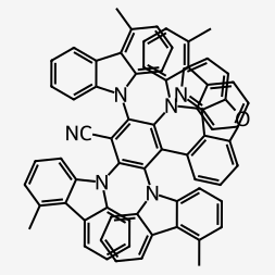 Cc1cccc2c1c1ccccc1n2-c1c(C#N)c(-n2c3ccccc3c3c(C)cccc32)c(-n2c3ccccc3c3c(C)cccc32)c(-c2cccc3oc4cccnc4c23)c1-n1c2ccccc2c2c(C)cccc21